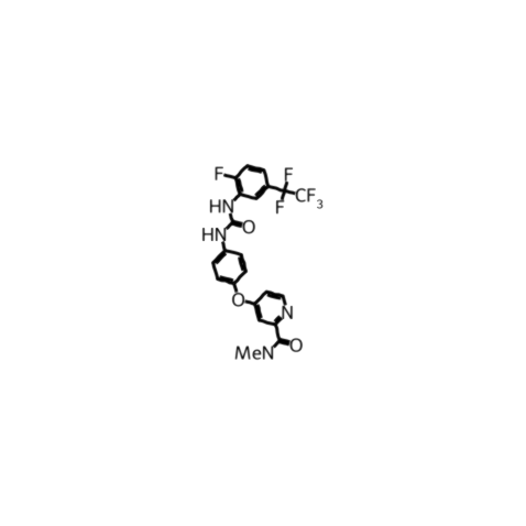 CNC(=O)c1cc(Oc2ccc(NC(=O)Nc3cc(C(F)(F)C(F)(F)F)ccc3F)cc2)ccn1